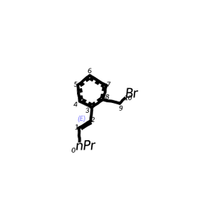 CCC/C=C/c1ccccc1CBr